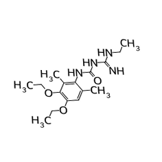 CCNC(=N)NC(=O)Nc1c(C)cc(OCC)c(OCC)c1C